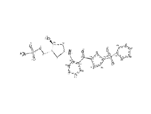 NS(=O)(=O)OC[C@H]1C[C@@H](Nc2ncncc2C(=O)c2cc(S(=O)(=O)c3ccccc3)cs2)C[C@@H]1O